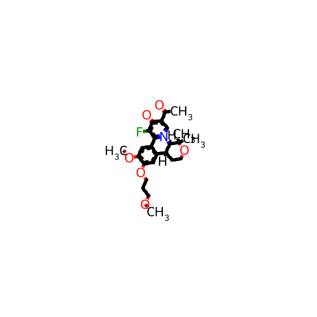 COCCCOc1cc2c(cc1OC)-c1c(F)c(=O)c(C(C)=O)cn1[C@H]1[C@@H]2CCOC1(C)C